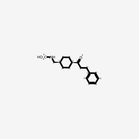 O=C(O)NC[C@H]1CC[C@@H](C(=O)CCc2ccccc2)CC1